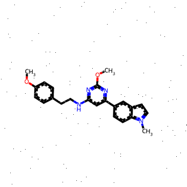 COc1ccc(CCNc2cc(-c3ccc4c(ccn4C)c3)nc(OC)n2)cc1